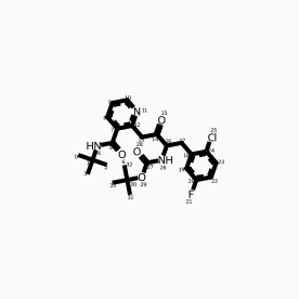 CC(C)(C)NC(=O)c1cccnc1CC(=O)C(Cc1cc(F)ccc1Cl)NC(=O)OC(C)(C)C